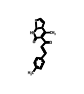 CC1=C(C(=O)/C=C/c2ccc(C)cc2)C(=O)NC2SC=CC12